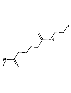 CNC(=O)CCCCC(=O)NCCS